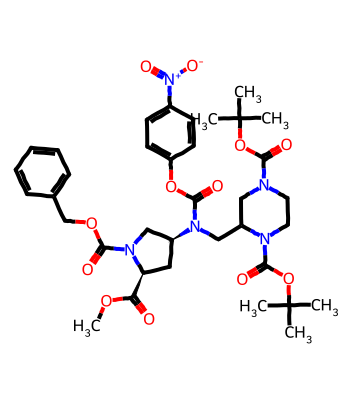 COC(=O)[C@@H]1C[C@H](N(CC2CN(C(=O)OC(C)(C)C)CCN2C(=O)OC(C)(C)C)C(=O)Oc2ccc([N+](=O)[O-])cc2)CN1C(=O)OCc1ccccc1